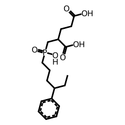 CCC(CCCP(=O)(O)CC(CCC(=O)O)C(=O)O)c1ccccc1